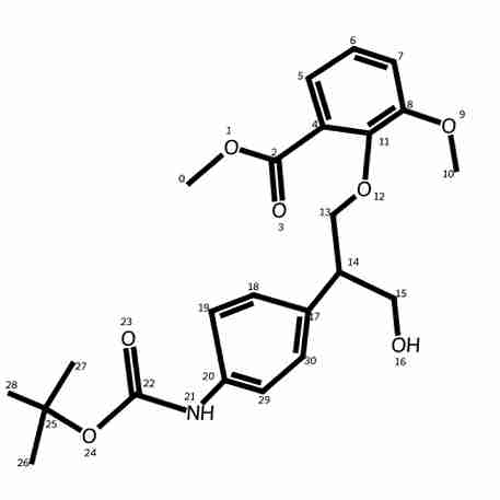 COC(=O)c1cccc(OC)c1OCC(CO)c1ccc(NC(=O)OC(C)(C)C)cc1